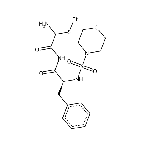 CCSC(N)C(=O)NC(=O)[C@H](Cc1ccccc1)NS(=O)(=O)N1CCOCC1